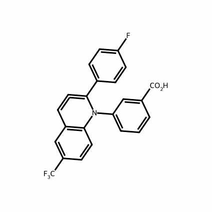 O=C(O)c1cccc(N2C(c3ccc(F)cc3)=C=Cc3cc(C(F)(F)F)ccc32)c1